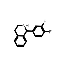 Fc1ccc(C2NCCc3ccccc32)cc1F